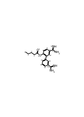 CCCCC(=O)Oc1ccc(C(=N)N)cc1-c1cccc(C(=N)N)c1